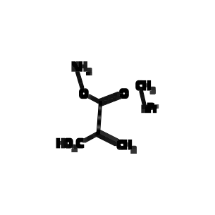 C=C(C(=O)O)C(=O)ON.CCCC